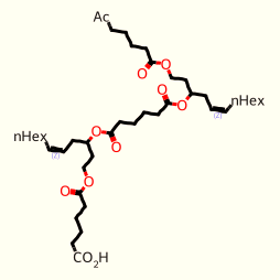 CCCCCC/C=C\CC(CCOC(=O)CCCCC(C)=O)OC(=O)CCCCC(=O)OC(C/C=C\CCCCCC)CCOC(=O)CCCCC(=O)O